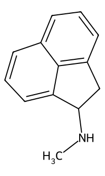 CNC1Cc2cccc3cccc1c23